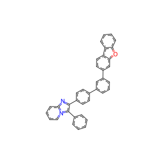 c1ccc(-c2c(-c3ccc(-c4cccc(-c5ccc6c(c5)oc5ccccc56)c4)cc3)nc3ccccn23)cc1